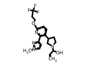 C=CC(O)N1CCC(c2ccc(OCCC(F)(F)F)nc2-c2ccn(C)n2)C1